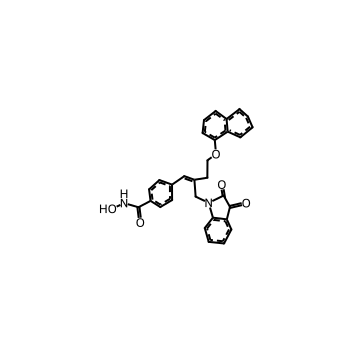 O=C(NO)c1ccc(C=C(CCOc2cccc3ccccc23)CN2C(=O)C(=O)c3ccccc32)cc1